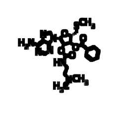 CSC[C@H]1O[C@@H](n2cnc3c(N)ncnc32)[C@H](OC(=O)NCCN(C)C)[C@@H]1OC(=O)c1ccccc1